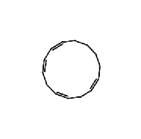 [C]1=CC=CCCCCC=CCC=CC1